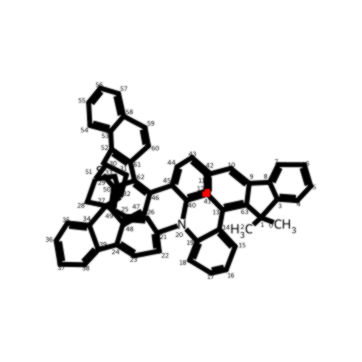 CC1(C)c2ccccc2-c2cccc(-c3ccccc3N(c3ccc4c(c3)C3(CC5CCC3C5)c3ccccc3-4)c3ccccc3-c3cccc4sc5c6ccccc6ccc5c34)c21